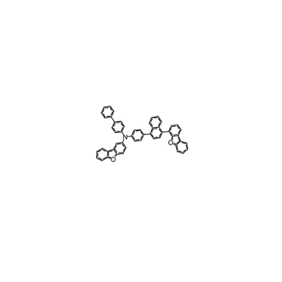 c1ccc(-c2ccc(N(c3ccc(-c4ccc(-c5cccc6c5oc5ccccc56)c5ccccc45)cc3)c3ccc4oc5ccccc5c4c3)cc2)cc1